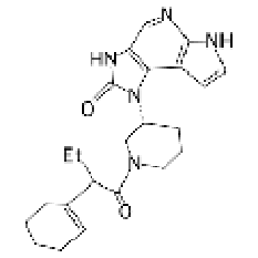 CCC(C(=O)N1CCC[C@@H](n2c(=O)[nH]c3cnc4[nH]ccc4c32)C1)C1=CCCCC1